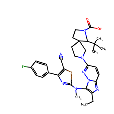 CCc1nc2ccc(N3CCC4(CCN(C(=O)O)C4C(C)(C)C)C3)nn2c1N(C)c1nc(-c2ccc(F)cc2)c(C#N)s1